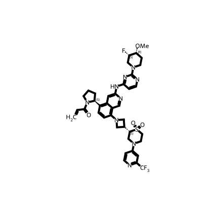 C=CC(=O)N1CCC[C@H]1c1ccc(N2CC([C@H]3CN(c4ccnc(C(F)(F)F)c4)CCS3(=O)=O)C2)c2cnc(Nc3ccnc(N4CC[C@@H](OC)[C@@H](F)C4)n3)cc12